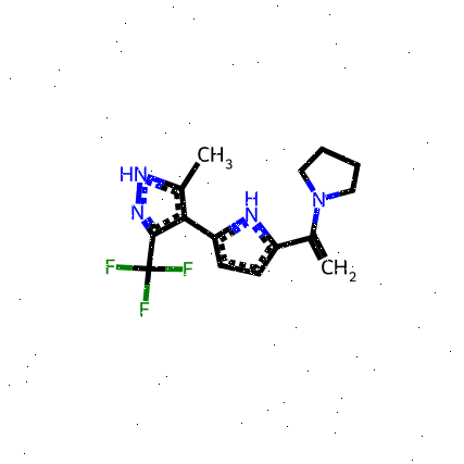 C=C(c1ccc(-c2c(C(F)(F)F)n[nH]c2C)[nH]1)N1CCCC1